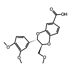 COC[C@@H]1Oc2ccc(C(=O)O)cc2O[C@H]1c1ccc(OC)c(OC)c1